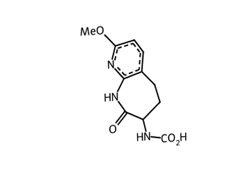 COc1ccc2c(n1)NC(=O)C(NC(=O)O)CC2